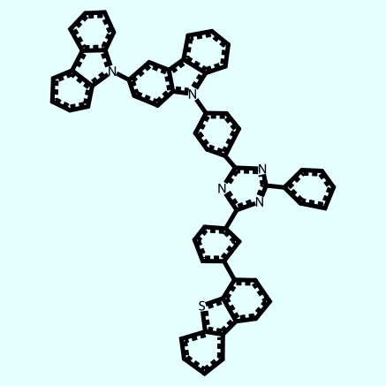 c1ccc(-c2nc(-c3ccc(-n4c5ccccc5c5cc(-n6c7ccccc7c7ccccc76)ccc54)cc3)nc(-c3cccc(-c4cccc5c4sc4ccccc45)c3)n2)cc1